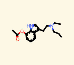 CCCN(CC)CCc1c[nH]c2c(OC(C)=O)cccc12